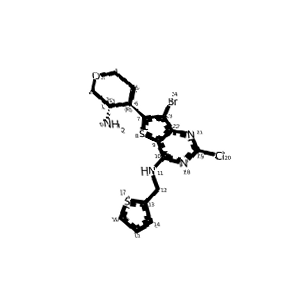 N[C@@H]1COCC[C@H]1c1sc2c(NCc3cccs3)nc(Cl)nc2c1Br